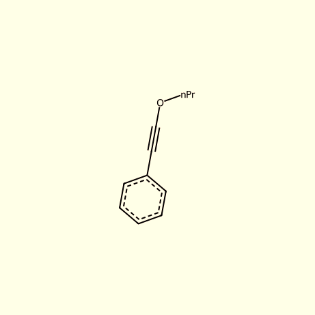 CCCOC#Cc1ccccc1